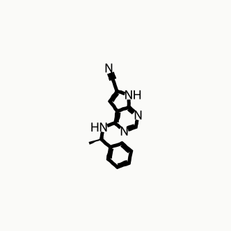 C[C@@H](Nc1ncnc2[nH]c(C#N)cc12)c1ccccc1